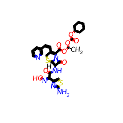 C[C@@H](OC(=O)OC1CCCCC1)OC(=O)C1=C(/C=C\c2cccnc2)CS[C@@H]2[C@H](NC(=O)/C(=N\O)c3csc(N)n3)C(=O)N12